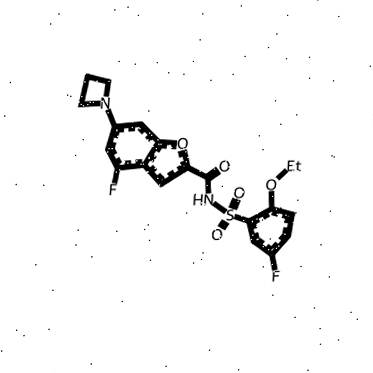 CCOc1ccc(F)cc1S(=O)(=O)NC(=O)c1cc2c(F)cc(N3CCC3)cc2o1